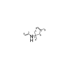 C=CNC(C)(C)CC(=C)C